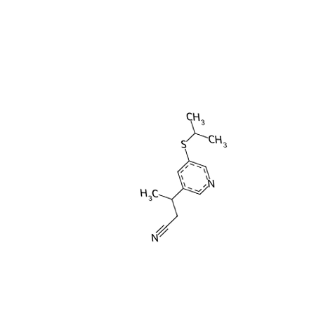 CC(C)Sc1cncc(C(C)CC#N)c1